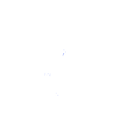 CN(C)[C@@H]1Cc2[nH]c3cnccc3c2C1